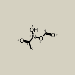 CC(=O)N(O)OC=O